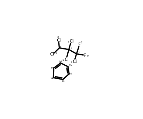 FC(F)(Cl)C(Cl)(Cl)C(Cl)Cl.c1ccccc1